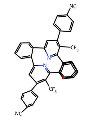 [C-]#[N+]c1ccc(-c2cc(-c3ccccc3-c3cc(-c4ccc(C#N)cc4)c(C(F)(F)F)c(-c4ccccc4)n3)nc(-c3ccccc3)c2C(F)(F)F)cc1